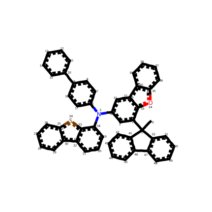 CC1(c2cc(N(c3ccc(-c4ccccc4)cc3)c3cccc4c3sc3ccccc34)cc3c2oc2ccccc23)c2ccccc2-c2ccccc21